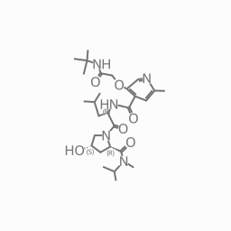 Cc1cc(C(=O)N[C@H](CC(C)C)C(=O)N2C[C@@H](O)C[C@@H]2C(=O)N(C)C(C)C)c(OCC(=O)NC(C)(C)C)cn1